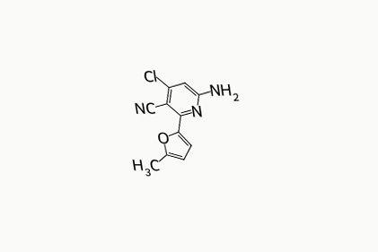 Cc1ccc(-c2nc(N)cc(Cl)c2C#N)o1